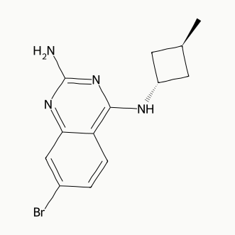 C[C@H]1C[C@H](Nc2nc(N)nc3cc(Br)ccc23)C1